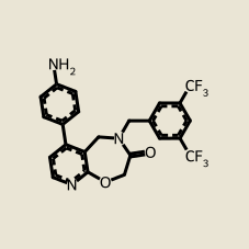 Nc1ccc(-c2ccnc3c2CN(Cc2cc(C(F)(F)F)cc(C(F)(F)F)c2)C(=O)CO3)cc1